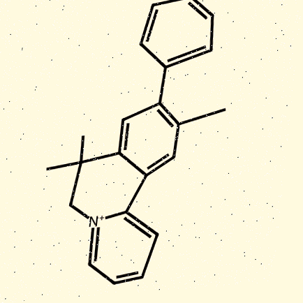 Cc1cc2c(cc1-c1ccccc1)C(C)(C)C[n+]1ccccc1-2